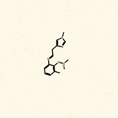 Cc1cccc(N=CCc2cn(C)cn2)c1O[SiH](C)C